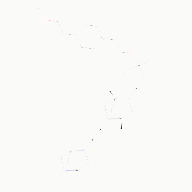 CC(C)(C)OCCN1CCN(CCOC(C)(C)CC(C)(C)N2C[C@H]3C[C@@H]2CN3C(C)(C)C(C)(C)N2C[C@@H]3C[C@H]2CN3C(C)(C)C)CC1